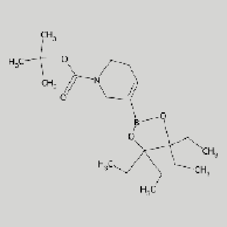 CCC1(CC)OB(C2=CCCN(C(=O)OC(C)(C)C)C2)OC1(CC)CC